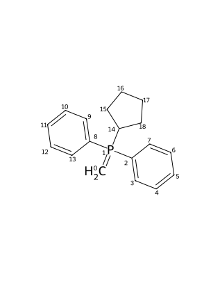 C=P(c1ccccc1)(c1ccccc1)C1CCCC1